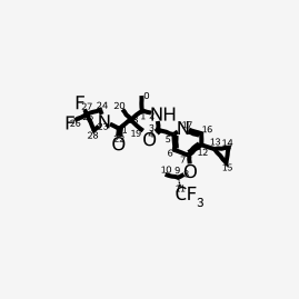 CC(NC(=O)c1cc(O[C@@H](C)C(F)(F)F)c(C2CC2)cn1)C(C)(C)C(=O)N1CC(F)(F)C1